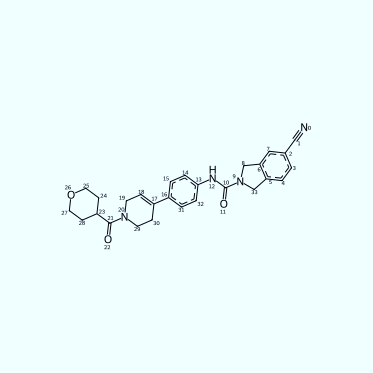 N#Cc1ccc2c(c1)CN(C(=O)Nc1ccc(C3=CCN(C(=O)C4CCOCC4)CC3)cc1)C2